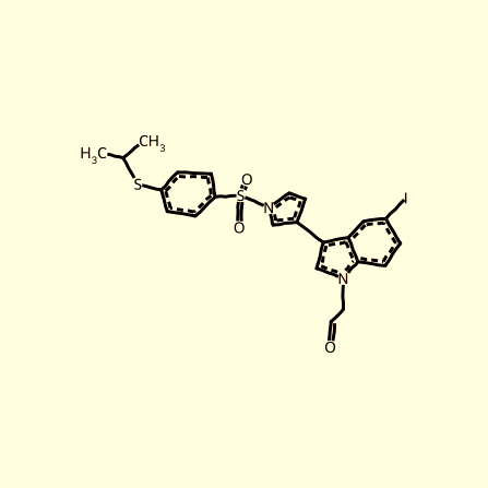 CC(C)Sc1ccc(S(=O)(=O)n2ccc(-c3cn(CC=O)c4ccc(I)cc34)c2)cc1